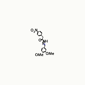 COc1ccc(/C=N/NC(=O)Cc2ccc([N+](=O)[O-])cc2)cc1OC